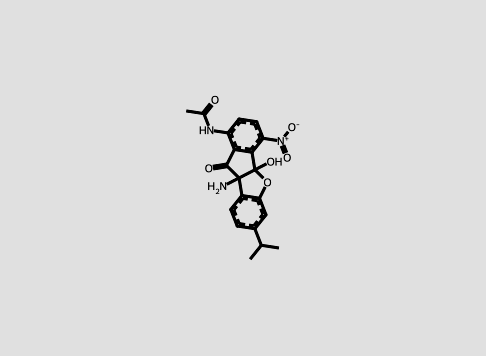 CC(=O)Nc1ccc([N+](=O)[O-])c2c1C(=O)C1(N)c3ccc(C(C)C)cc3OC21O